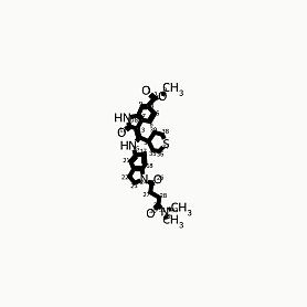 COC(=O)c1ccc2c(c1)NC(=O)/C2=C(\Nc1ccc2c(c1)CCN2C(=O)CCC(=O)N(C)C)C1CCSCC1